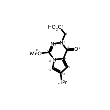 COc1nn(CC(=O)O)c(=O)c2cc(C(C)C)cn12